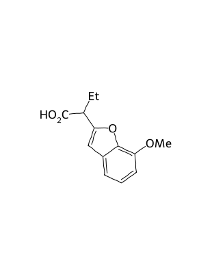 CCC(C(=O)O)c1cc2cccc(OC)c2o1